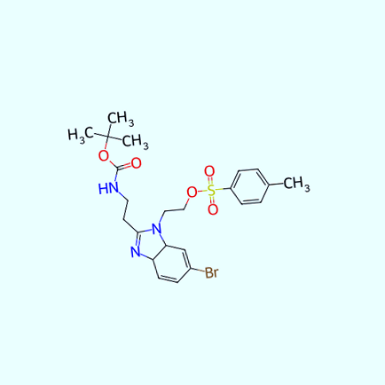 Cc1ccc(S(=O)(=O)OCCN2C(CCNC(=O)OC(C)(C)C)=NC3C=CC(Br)=CC32)cc1